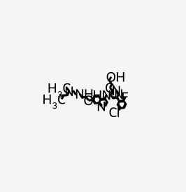 CCCN(C)CCNCCOc1ccc2c(Nc3cc(-c4cc(Cl)ccc4F)nnc3OCCO)ccnc2c1